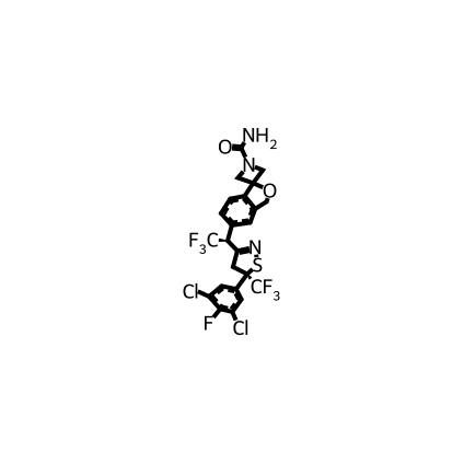 NC(=O)N1CC2(C1)OCc1cc([C@@H](C3=NS[C@@](c4cc(Cl)c(F)c(Cl)c4)(C(F)(F)F)C3)C(F)(F)F)ccc12